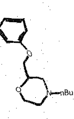 CCCCN1CCOC(COc2ccccc2)C1